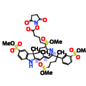 COS(=O)CCCC(C)(C(/C=C(C)/C=C1/Nc2ccc(S(=O)(=O)OC)cc2C1(C)CCCS(=O)OC)=N/CCCCCC(=O)ON1C(=O)CCC1=O)c1cccc(S(=O)(=O)OC)c1